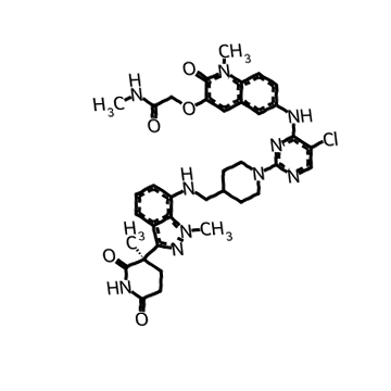 CNC(=O)COc1cc2cc(Nc3nc(N4CCC(CNc5cccc6c([C@@]7(C)CCC(=O)NC7=O)nn(C)c56)CC4)ncc3Cl)ccc2n(C)c1=O